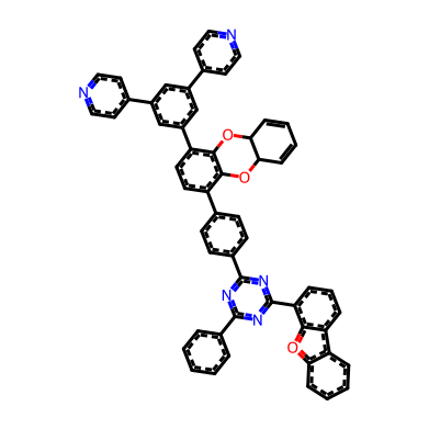 C1=CC2Oc3c(-c4ccc(-c5nc(-c6ccccc6)nc(-c6cccc7c6oc6ccccc67)n5)cc4)ccc(-c4cc(-c5ccncc5)cc(-c5ccncc5)c4)c3OC2C=C1